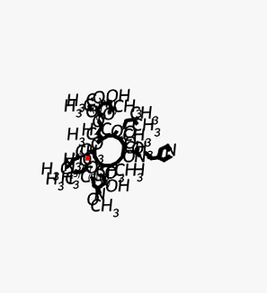 CON=C1C[C@@H](C)O[C@@H](OC2C(C)CC(C)(OC(=O)NCCc3ccncc3)C(=O)C(C)C(OC(=O)CC(C)C)C(C)C(C(C)CO[C@@H]3O[C@H](C)[C@@H](O)[C@@H](OC)[C@H]3OC)OC(=O)C(C)C(O[C@H]3C[C@H](C)N(C)C[C@H](C)O3)C2C)[C@@H]1O